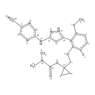 COc1ccc(F)c(OCC2(OC(=O)N(C)C)CC2)c1-c1cc(Nc2cnc(C#N)cn2)n[nH]1